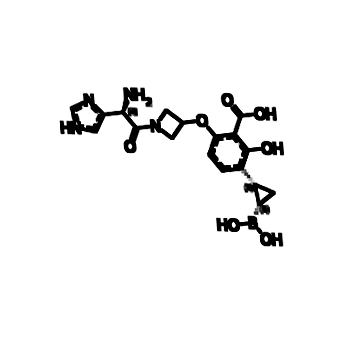 N[C@@H](C(=O)N1CC(Oc2ccc([C@@H]3C[C@@H]3B(O)O)c(O)c2C(=O)O)C1)c1c[nH]cn1